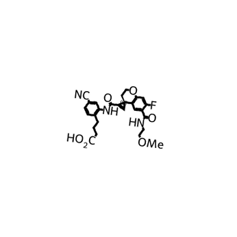 COCCNC(=O)c1cc2c(cc1F)OCC[C@]21C=C1C(=O)Nc1cc(C#N)ccc1CCCC(=O)O